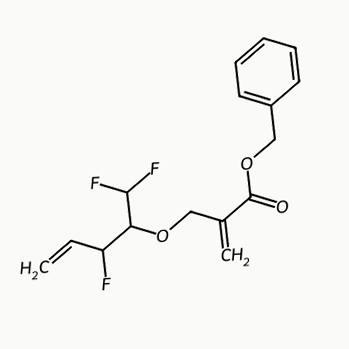 C=CC(F)C(OCC(=C)C(=O)OCc1ccccc1)C(F)F